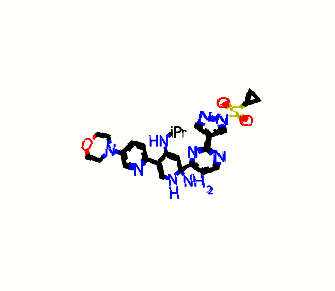 CC(C)NC1=CC(N)(c2ccnc(-c3cnn(S(=O)(=O)C4CC4)c3)n2)NC=C1c1ccc(N2CCOCC2)cn1